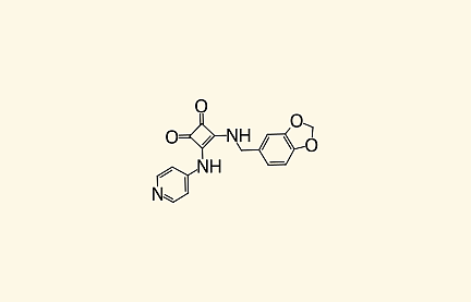 O=c1c(NCc2ccc3c(c2)OCO3)c(Nc2ccncc2)c1=O